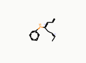 C=C/C=C(\C/C=C\C)Pc1ccccc1